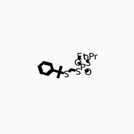 CCCSP(=O)(OCC)SCSC(C)(C)c1ccccc1